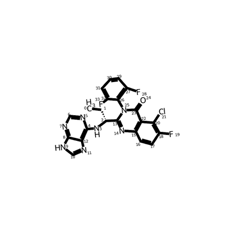 CC[C@@H](Nc1ncnc2[nH]cnc12)c1nc2ccc(F)c(Cl)c2c(=O)n1-c1c(F)cccc1F